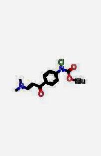 CN(C)C=CC(=O)c1ccc(N(Cl)C(=O)OC(C)(C)C)cc1